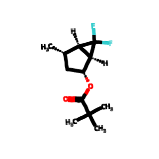 C[C@H]1C[C@@H](OC(=O)C(C)(C)C)[C@H]2[C@@H]1C2(F)F